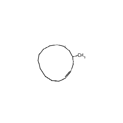 CC1C[C]CCCCCCCCC/C=C\C1